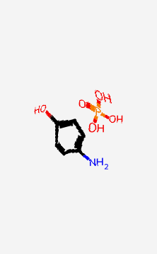 Nc1ccc(O)cc1.O=P(O)(O)O